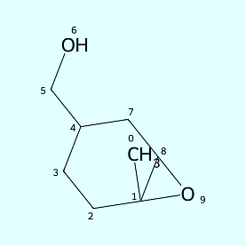 CC12CCC(CO)CC1O2